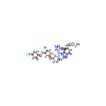 CCn1cncc1Cn1c(CN2CCC(Oc3ccc(F)c(COc4ccc(Cl)cc4F)c3)CC2)nc2c(F)cc(CC(=O)O)cc21